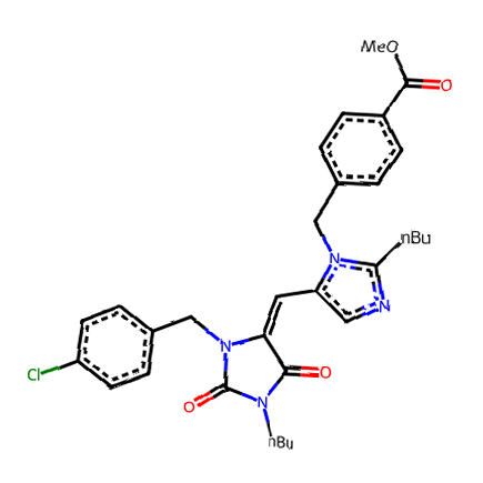 CCCCc1ncc(C=C2C(=O)N(CCCC)C(=O)N2Cc2ccc(Cl)cc2)n1Cc1ccc(C(=O)OC)cc1